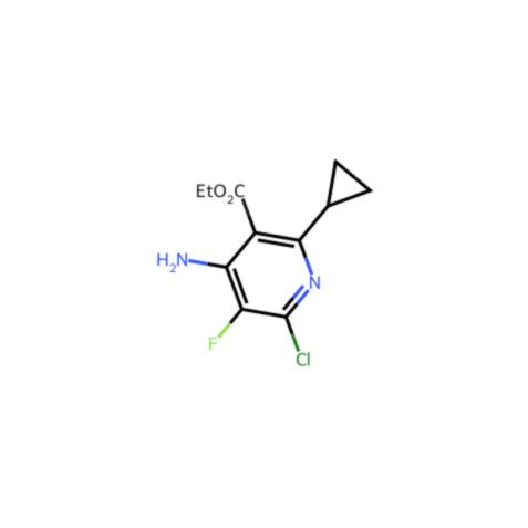 CCOC(=O)c1c(C2CC2)nc(Cl)c(F)c1N